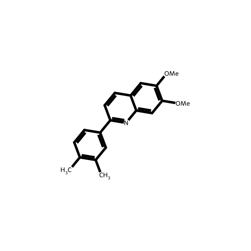 COc1cc2ccc(-c3ccc(C)c(C)c3)nc2cc1OC